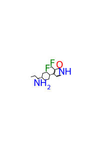 CCC(N)[C@H]1CC[C@@H](c2cc[nH]c(=O)c2C(F)F)CC1